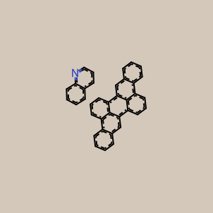 c1ccc2c(c1)cc1c3cccc4c5ccccc5cc(c5cccc2c51)c43.c1ccc2ncccc2c1